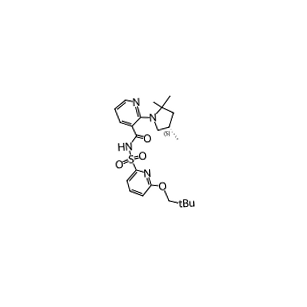 C[C@@H]1CN(c2ncccc2C(=O)NS(=O)(=O)c2cccc(OCC(C)(C)C)n2)C(C)(C)C1